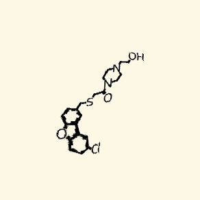 O=C(CSCc1ccc2oc3ccc(Cl)cc3c2c1)N1CCN(CCO)CC1